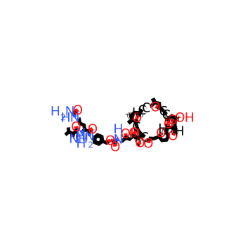 C=C1CC2CC[C@]34C[C@@H](O)C(O3)[C@H]3CC(O4)[C@H]4OC(CCC4O3)CC(=O)CC3C(CC4O[C@@H](CCC1O2)C[C@@H](C)C4=C)O[C@H](CC(O)CNC(=O)OCc1ccc(NC(=O)C(CCCNC(N)=O)NC(=O)[C@@H](N)C(C)C)cc1)[C@@H]3OC